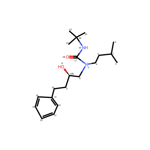 CC(C)CCN(C[C@H](O)CCc1ccccc1)C(=O)NC(C)(C)C